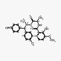 COc1ccnc(C(=O)NC(C)C(=O)ON(C)C(c2ccc(Cl)cc2)c2ccc(Cl)cc2)c1O